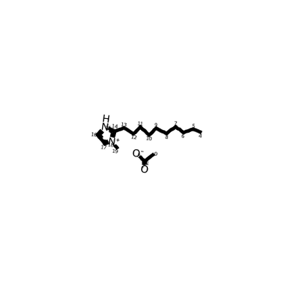 CC(=O)[O-].CCCCCCCCCCc1[nH]cc[n+]1C